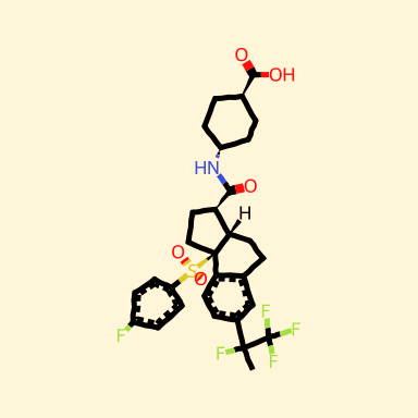 CC(F)(c1ccc2c(c1)CC[C@H]1[C@H](C(=O)N[C@H]3CC[C@H](C(=O)O)CC3)CC[C@@]21S(=O)(=O)c1ccc(F)cc1)C(F)(F)F